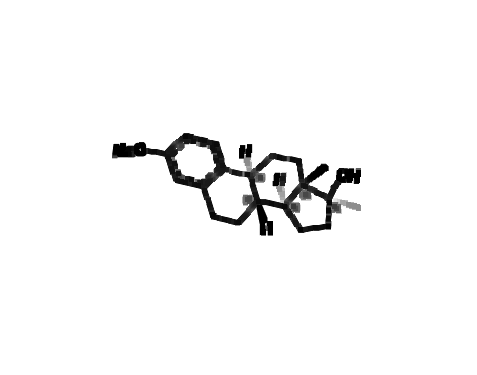 COc1ccc2c(c1)CC[C@@H]1[C@@H]2CC[C@@]2(C)[C@H]1CC[C@]2(C)O